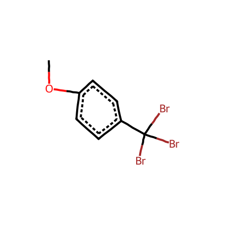 COc1ccc(C(Br)(Br)Br)cc1